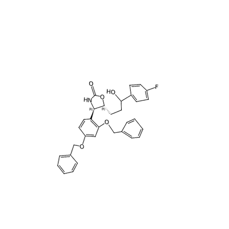 O=C1N[C@H](c2ccc(OCc3ccccc3)cc2OCc2ccccc2)[C@@H](CCC(O)c2ccc(F)cc2)O1